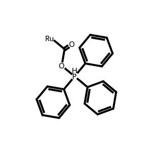 O=[C]([Ru])O[PH](c1ccccc1)(c1ccccc1)c1ccccc1